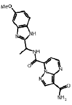 COc1ccc2[nH]c(C(C)NC(=O)c3ccnc4c(C(N)=O)cnn34)nc2c1